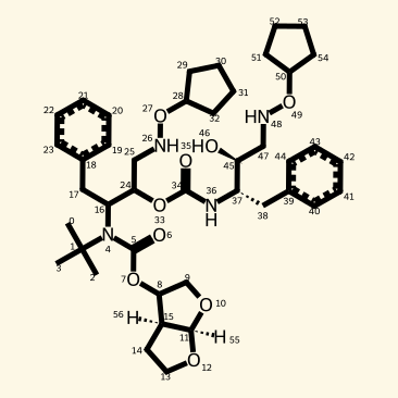 CC(C)(C)N(C(=O)OC1CO[C@H]2OCC[C@@H]12)C(Cc1ccccc1)C(CNOC1CCCC1)OC(=O)N[C@@H](Cc1ccccc1)[C@@H](O)CNOC1CCCC1